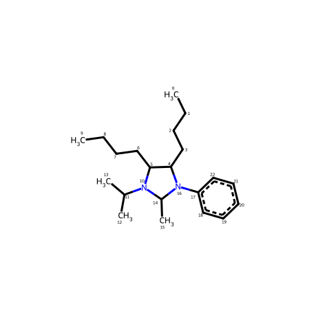 CCCCC1C(CCCC)N(C(C)C)C(C)N1c1ccccc1